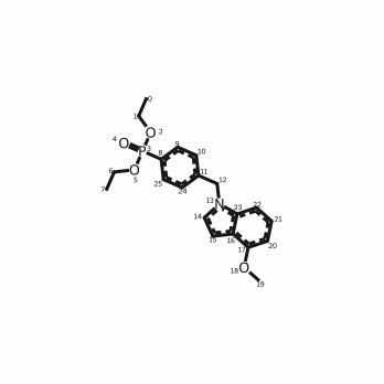 CCOP(=O)(OCC)c1ccc(Cn2ccc3c(OC)cccc32)cc1